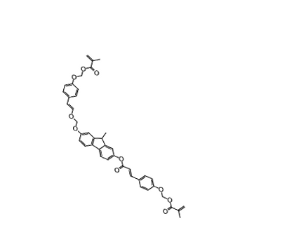 C=C(C)C(=O)OCOc1ccc(C=COCOc2ccc3c(c2)C(C)c2cc(OC(=O)C=Cc4ccc(OCOC(=O)C(=C)C)cc4)ccc2-3)cc1